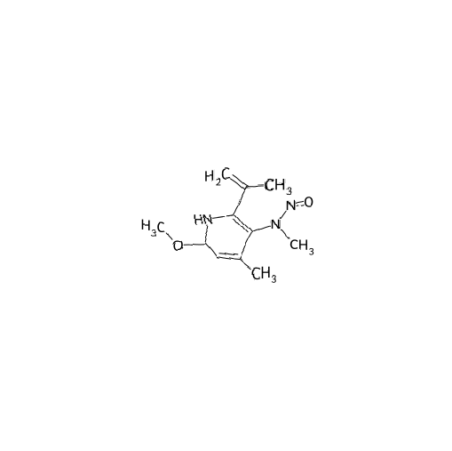 C=C(C)C1=C(N(C)N=O)C(C)=CC(OC)N1